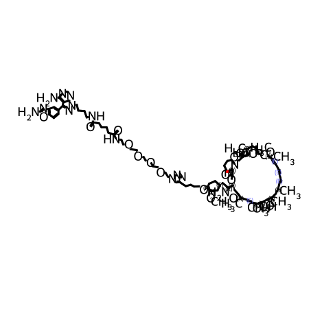 CO[C@H]1C[C@@H]2CC[C@@H](C)[C@@](O)(O2)C(=O)C(=O)N2CCCC[C@H]2C(=O)O[C@H]([C@H](N)C[C@@H]2CC[C@@H](OCCCCc3cn(CCOCCOCCOCCOCCNC(=O)CCCCC(=O)NCCCCn4nc(-c5ccc6oc(N)nc6c5)c5c(N)ncnc54)nn3)[C@H](OC)C2)CC(=O)[C@H](C)/C=C(\C)[C@@H](O)[C@@H](O)C(=O)[C@H](C)C[C@H](C)/C=C/C=C/C=C/1C